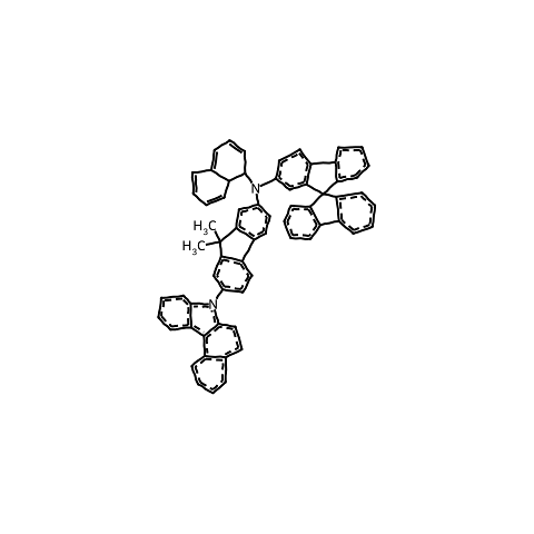 CC1(C)c2cc(N(c3ccc4c(c3)C3(c5ccccc5-c5ccccc53)c3ccccc3-4)C3C=CC=C4C=CC=CC43)ccc2-c2ccc(-n3c4ccccc4c4c5ccccc5ccc43)cc21